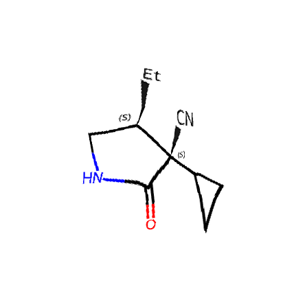 CC[C@@H]1CNC(=O)[C@@]1(C#N)C1CC1